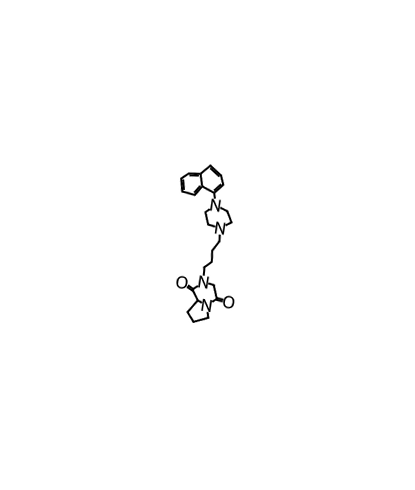 O=C1C2CCCN2C(=O)CN1CCCCN1CCN(c2cccc3ccccc23)CC1